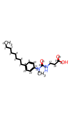 CCCCCCCCc1ccc(N(C)C(=O)NCCC(=O)O)cc1